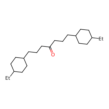 CCC1CCC(CCCC(=O)CCCC2CCC(CC)CC2)CC1